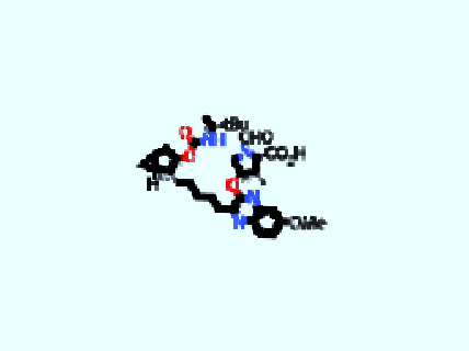 COc1ccc2nc(CCCCC[C@H]3[C@H](OC(=O)N[C@H](C)C(C)(C)C)CC4C[C@@H]43)c(O[C@H]3CN(C=O)[C@H](C(=O)O)[C@@H]3C)nc2c1